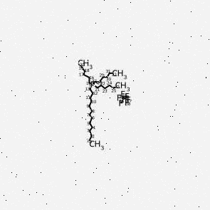 CCCCCCCCCCCCCC[P+](CCCCCC)(CCCCCC)CCCCCC.F[P-](F)(F)(F)(F)F